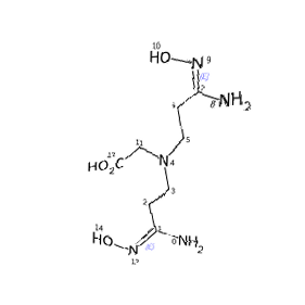 N/C(CCN(CC/C(N)=N\O)CC(=O)O)=N/O